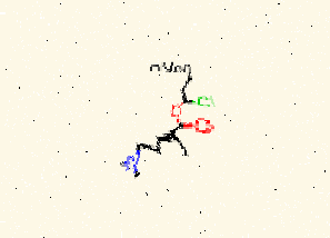 CCCCCCCCCCCC(Cl)OC(=O)C(C)=CCCN(C)C